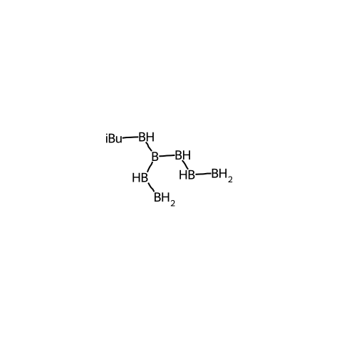 BBBB(BB)BC(C)CC